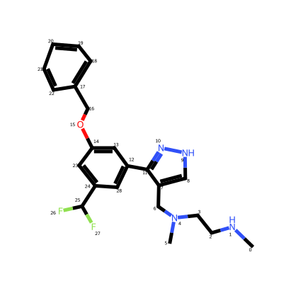 CNCCN(C)Cc1c[nH]nc1-c1cc(OCc2ccccc2)cc(C(F)F)c1